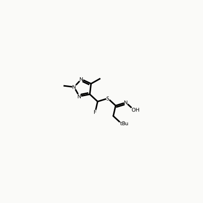 Cc1nn(C)nc1C(F)S/C(CC(C)(C)C)=N/O